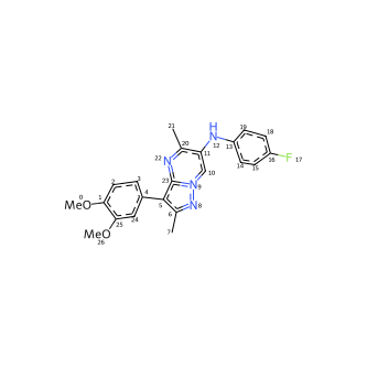 COc1ccc(-c2c(C)nn3cc(Nc4ccc(F)cc4)c(C)nc23)cc1OC